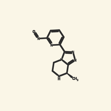 C[C@H]1NCCn2c(-c3cccc(N=O)n3)nnc21